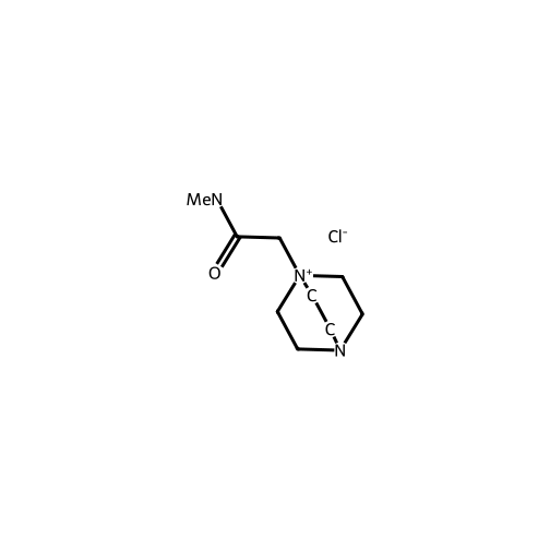 CNC(=O)C[N+]12CCN(CC1)CC2.[Cl-]